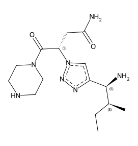 CC[C@H](C)[C@H](N)c1cn([C@@H](CC(N)=O)C(=O)N2CCNCC2)nn1